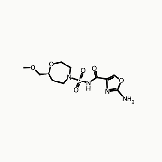 COC[C@@H]1CCN(S(=O)(=O)NC(=O)c2coc(N)n2)CCO1